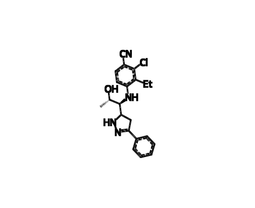 CCc1c(N[C@@H](C2CC(c3ccccc3)=NN2)[C@H](C)O)ccc(C#N)c1Cl